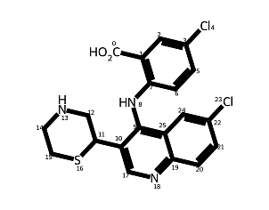 O=C(O)c1cc(Cl)ccc1Nc1c(C2CNCCS2)cnc2ccc(Cl)cc12